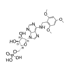 COc1cc(OC)c(CNc2ncnc3c2ncn3[C@@H]2O[C@H](COP(=O)(O)O)[C@@H](O)[C@H]2O)c(OC)c1